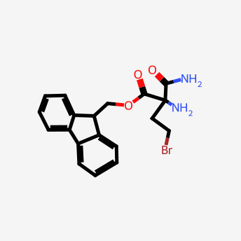 NC(=O)C(N)(CCBr)C(=O)OCC1c2ccccc2-c2ccccc21